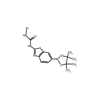 CCNC(=O)Nc1nc2ccc(B3OC(C)(C)C(C)(C)O3)cc2s1